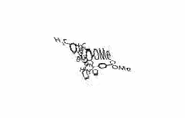 COC(=O)c1ccc(C2C(=O)N3CCC[C@@H]3CC(=O)N2Cc2c(OC)cc(C)c3c2ccn3S(=O)(=O)c2ccc(C)cc2)cc1